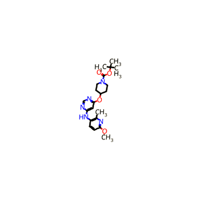 COc1ccc(Nc2cc(OC3CCN(C(=O)OC(C)(C)C)CC3)ncn2)c(C)n1